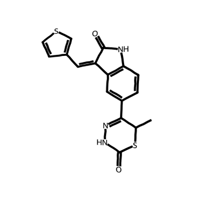 CC1SC(=O)NN=C1c1ccc2c(c1)/C(=C/c1ccsc1)C(=O)N2